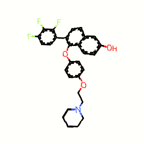 Oc1ccc2c(Oc3ccc(OCCN4CCCCC4)cc3)c(-c3ccc(F)c(F)c3F)ccc2c1